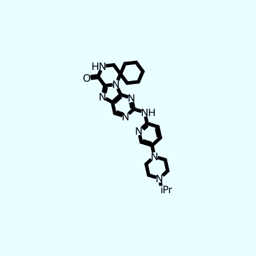 CC(C)N1CCN(c2ccc(Nc3ncc4nc5n(c4n3)C3(CCCCC3)CNC5=O)nc2)CC1